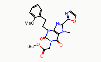 COc1ccccc1CCn1c(=O)n(CC(=O)OC(C)(C)C)c(=O)c2c1nc(-c1ncco1)n2C